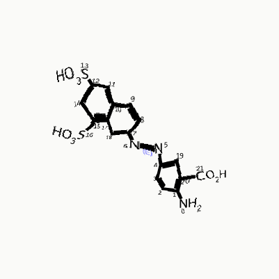 Nc1ccc(/N=N/c2ccc3cc(S(=O)(=O)O)cc(S(=O)(=O)O)c3c2)cc1C(=O)O